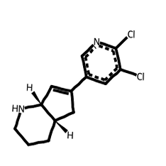 Clc1cc(C2=C[C@H]3NCCC[C@H]3C2)cnc1Cl